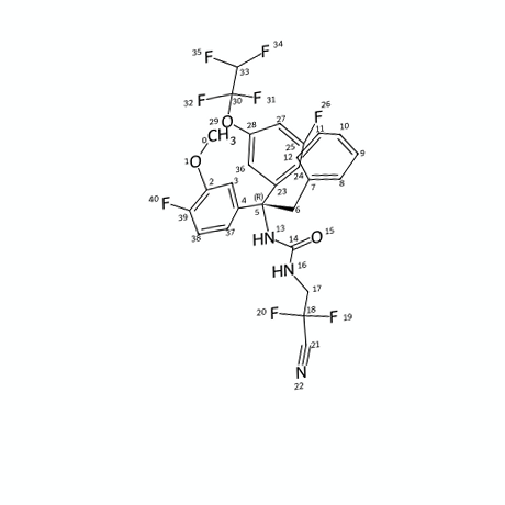 COc1cc([C@@](Cc2ccccc2)(NC(=O)NCC(F)(F)C#N)c2cc(F)cc(OC(F)(F)C(F)F)c2)ccc1F